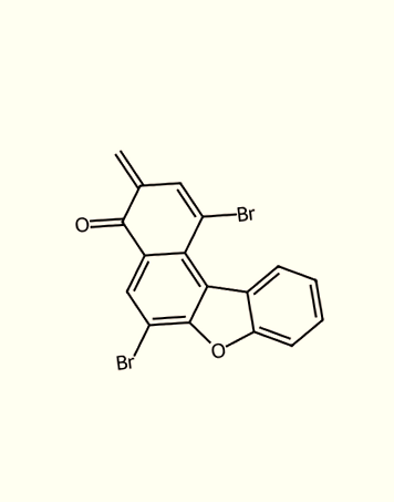 C=C1C=C(Br)c2c(cc(Br)c3oc4ccccc4c23)C1=O